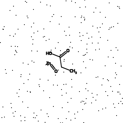 CCC(=O)O.[O]=[Zn]